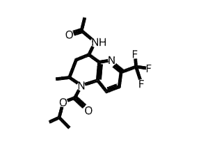 CC(=O)NC1CC(C)N(C(=O)OC(C)C)c2ccc(C(F)(F)F)nc21